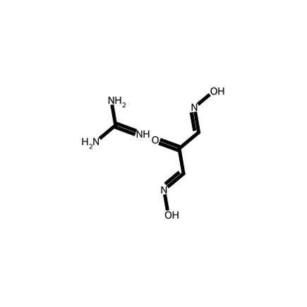 N=C(N)N.O=C(C=NO)C=NO